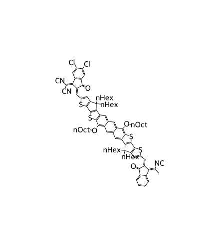 [C-]#[N+]/C(C)=C1\C(=C\c2cc3c(s2)-c2sc4c(OCCCCCCCC)c5cc6cc7c8c(sc7c(OCCCCCCCC)c6cc5cc4c2C3(CCCCCC)CCCCCC)-c2sc(/C=C3\C(=O)c4cc(Cl)c(Cl)cc4\C3=C(\C#N)[N+]#[C-])cc2C8(CCCCCC)CCCCCC)C(=O)c2ccccc21